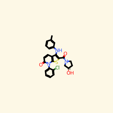 Cc1cccc(Nc2c(C(=O)N3CC[C@H](O)C3)sc3c2ccc(=O)n3-c2ccccc2Cl)c1